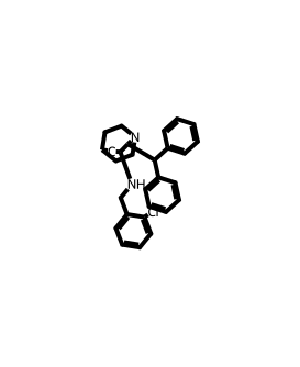 Clc1ccccc1CNC1CC2CCN(CC2)C1C(c1ccccc1)c1ccccc1